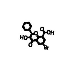 O=C(O)c1cc(Br)cc2c(=O)c(O)c(-c3ccccc3)oc12